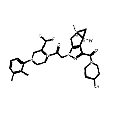 Cc1cccc(N2CCN(C(=O)Cn3nc(C(=O)N4CCC(O)CC4)c4c3C[C@H]3C[C@@H]43)C(C(F)F)C2)c1C